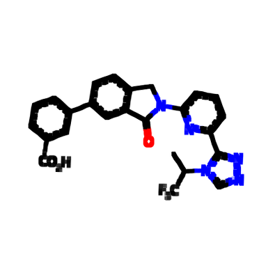 CC(n1cnnc1-c1cccc(N2Cc3ccc(-c4cccc(C(=O)O)c4)cc3C2=O)n1)C(F)(F)F